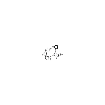 [Cl][Cu-2][Cl].[Li+].[Li+]